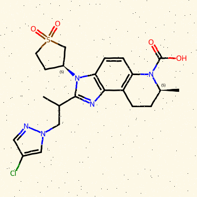 CC(Cn1cc(Cl)cn1)c1nc2c3c(ccc2n1[C@H]1CCS(=O)(=O)C1)N(C(=O)O)[C@@H](C)CC3